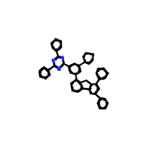 c1ccc(-c2cc(-c3nc(-c4ccccc4)nc(-c4ccccc4)n3)cc(-c3cccc4c3Cc3c(-c5ccccc5)cc(-c5ccccc5)cc3-4)c2)cc1